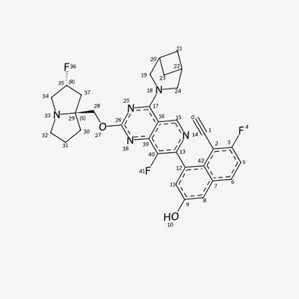 C#Cc1c(F)ccc2cc(O)cc(-c3ncc4c(N5CC6CC(C6)C5)nc(OC[C@@]56CCCN5C[C@H](F)C6)nc4c3F)c12